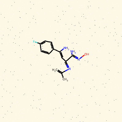 C=C(C)/N=C(\C=C(/N)c1ccc(F)cc1)C(/N)=N/O